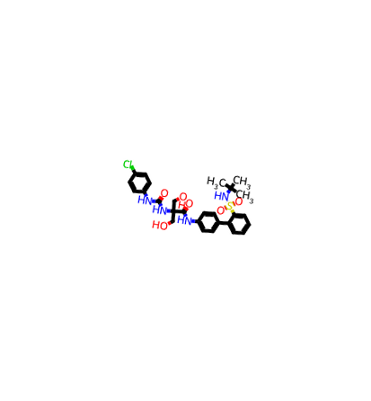 CC(C)(C)NS(=O)(=O)c1ccccc1-c1ccc(NC(=O)C(CO)(CO)NC(=O)Nc2ccc(Cl)cc2)cc1